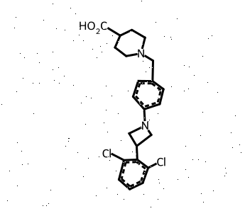 O=C(O)C1CCN(Cc2ccc(N3CC(c4c(Cl)cccc4Cl)C3)cc2)CC1